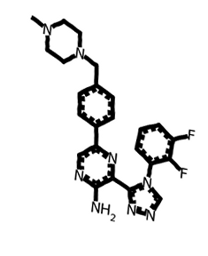 CN1CCN(Cc2ccc(-c3cnc(N)c(-c4nncn4-c4cccc(F)c4F)n3)cc2)CC1